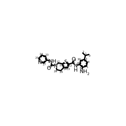 CC(C)c1ccc(N)c(NC(=O)c2cc3c(s2)CN(C(=O)Nc2cccnc2)CC3)c1